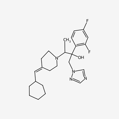 CC(N1CCC(=CC2CCCCC2)CC1)C(O)(Cn1cncn1)c1ccc(F)cc1F